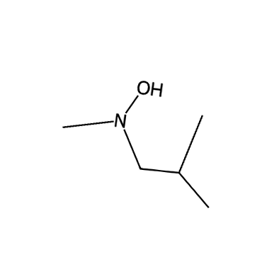 CC(C)CN(C)O